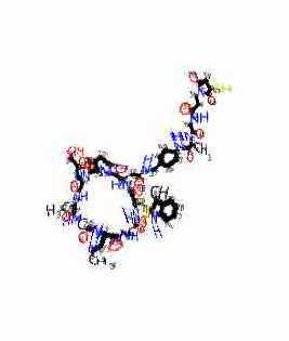 CCCC1NC(=O)CNC(=O)[C@H](C)NC(=O)C(C[C@@H](O)CO)NC(=O)[C@@H]2CCCN2C(=O)[C@H](CC(=O)NCc2ccc(NC(=O)[C@H](C)NC(=O)CNC(=O)CCN3C(=O)CC(S)C3=O)cc2)NC(=O)[C@H](C[S+]([O-])c2[nH]c3ccccc3c2C)NC(=O)CNC1=O